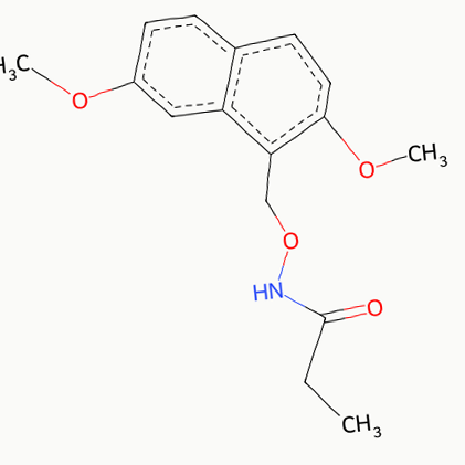 CCC(=O)NOCc1c(OC)ccc2ccc(OC)cc12